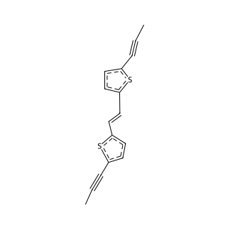 CC#Cc1ccc(/C=C/c2ccc(C#CC)s2)s1